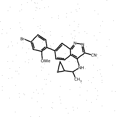 COc1cc(Br)ccc1-c1ccc2c(NC(C)C3CC3)c(C#N)nnc2c1